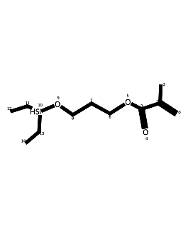 C=C(C)C(=O)OCCCO[SiH](CC)CC